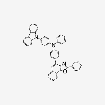 c1ccc(-c2nc3c(-c4ccc(N(c5ccccc5)c5ccc(-n6c7ccccc7c7ccccc76)cc5)cc4)cc4ccccc4c3o2)cc1